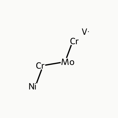 [Cr][Mo][Cr][Ni].[V]